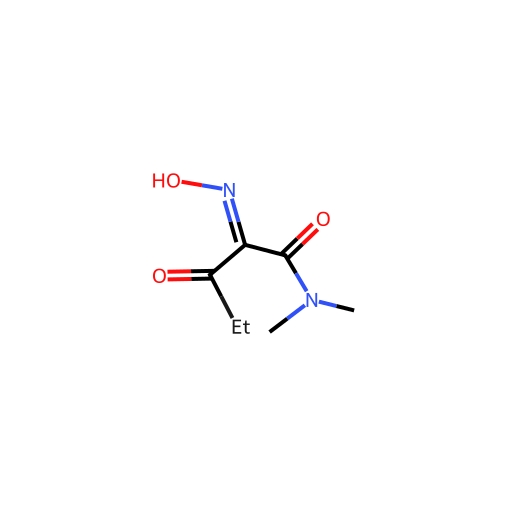 CCC(=O)/C(=N\O)C(=O)N(C)C